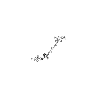 C=C(C)C(=O)NCCOCCOCCOCCn1nnc(CN2CC(S(C)(=O)=O)C2)c1CC